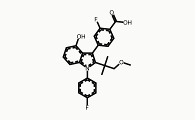 COCC(C)(C)c1c(-c2ccc(C(=O)O)c(F)c2)c2c(O)cccc2n1-c1ccc(F)cc1